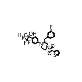 C[C@](O)(c1ccc(N2CCN(S(=O)(=O)c3cccs3)C[C@@H]2Cc2cccc(F)c2)cc1)C(F)(F)F